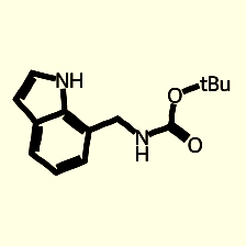 CC(C)(C)OC(=O)NCc1cccc2cc[nH]c12